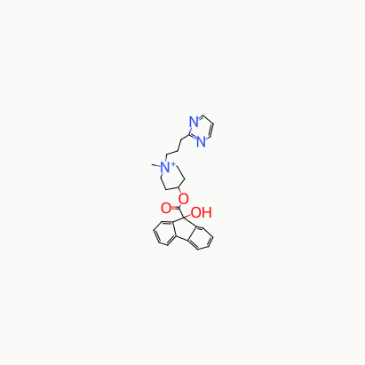 C[N+]1(CCCc2ncccn2)CCC(OC(=O)C2(O)c3ccccc3-c3ccccc32)CC1